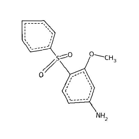 COc1cc(N)ccc1S(=O)(=O)c1ccccc1